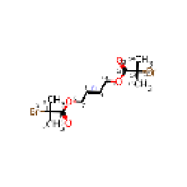 CC(C)(Br)C(=O)OC/C=C/COC(=O)C(C)(C)Br